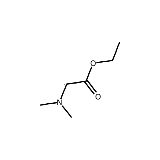 CCOC(=O)[CH]N(C)C